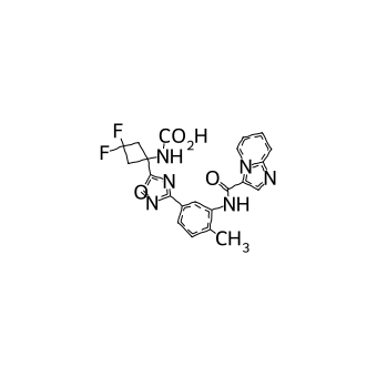 Cc1ccc(-c2noc(C3(NC(=O)O)CC(F)(F)C3)n2)cc1NC(=O)c1cnc2ccccn12